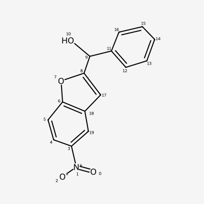 O=[N+]([O-])c1ccc2oc(C(O)c3ccccc3)cc2c1